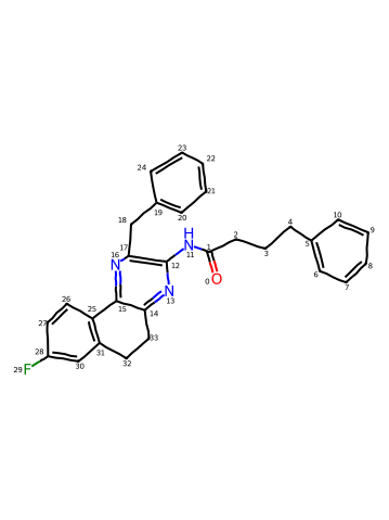 O=C(CCCc1ccccc1)Nc1nc2c(nc1Cc1ccccc1)-c1ccc(F)cc1CC2